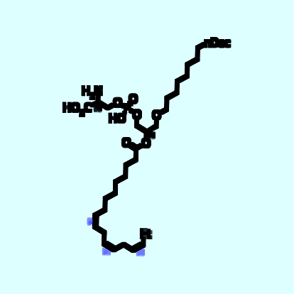 CC/C=C\C/C=C\C/C=C\CCCCCCCC(=O)O[C@H](COCCCCCCCCCCCCCCCCCC)COP(=O)(O)OC[C@H](N)C(=O)O